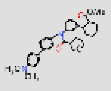 COC(=O)C1CCCCC1c1cccc(N(Cc2ccc(-c3ccc(N(C)C)cc3)cc2)C(=O)C2CCCCC2)c1